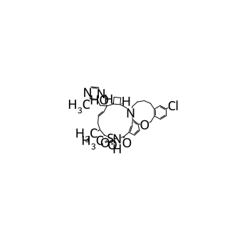 Cc1nccnc1C[C@@]1(O)/C=C/C[C@H](C)[C@@H](C)S(=O)(=O)NC(=O)c2ccc3c(c2)N(CCCCc2cc(Cl)ccc2CO3)C[C@@H]2CC[C@H]21